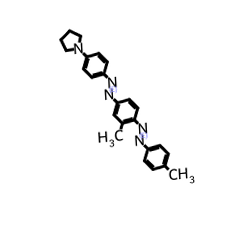 Cc1ccc(/N=N/c2ccc(/N=N/c3ccc(N4CCCC4)cc3)cc2C)cc1